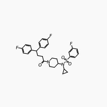 O=C(CCC(c1ccc(F)cc1)c1ccc(F)cc1)N1CCC(N(C2CC2)S(=O)(=O)c2cccc(F)c2)CC1